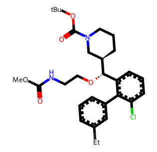 CCc1cccc(-c2c(Cl)cccc2[C@H](OCCNC(=O)OC)[C@@H]2CCCN(C(=O)OC(C)(C)C)C2)c1